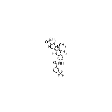 Cc1ccc(NC(=O)c2cccc(C(F)(F)F)c2)cc1Nc1nn(C)c2nc([S+](C)[O-])ncc12